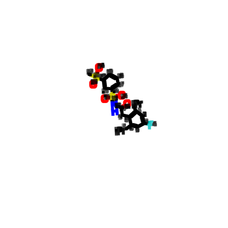 CC(C)c1cc(F)cc(C(C)C)c1CC(=O)NS(=O)(=O)c1cccc(S(C)(=O)=O)c1